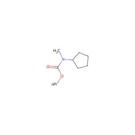 CCCOC(=O)N(C)C1CCCC1